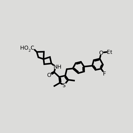 CCOc1cc(F)cc(-c2ccc(Cc3c(C)sc(C)c3C(=O)NC3CC4(C3)CC(C(=O)O)C4)cc2)c1